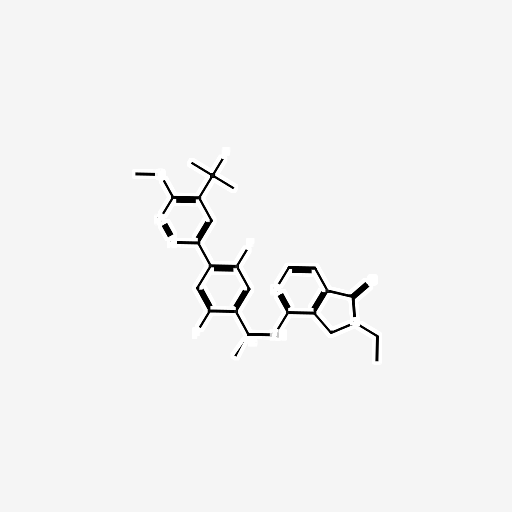 CCN1Cc2c(ccnc2N[C@@H](C)c2cc(F)c(-c3cc(C(C)(C)F)c(OC)nn3)cc2F)C1=O